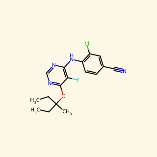 CCC(C)(CC)Oc1ncnc(Nc2ccc(C#N)cc2Cl)c1F